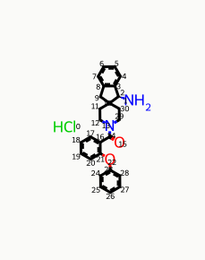 Cl.N[C@@H]1c2ccccc2CC12CCN(C(=O)c1ccccc1Oc1ccccc1)CC2